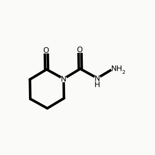 NNC(=O)N1CCCCC1=O